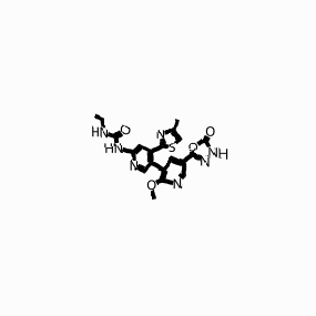 CCNC(=O)Nc1cc(-c2nc(C)cs2)c(-c2cc(-c3n[nH]c(=O)o3)cnc2OC)cn1